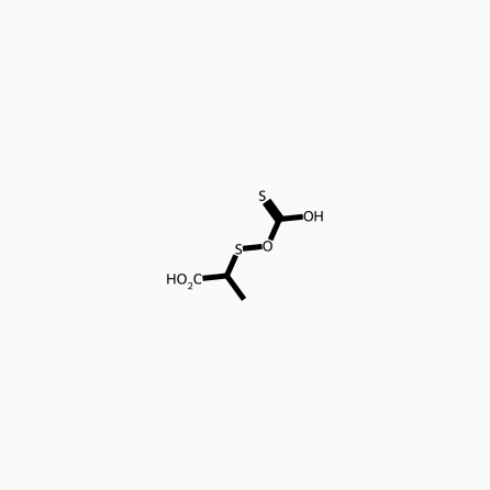 CC(SOC(O)=S)C(=O)O